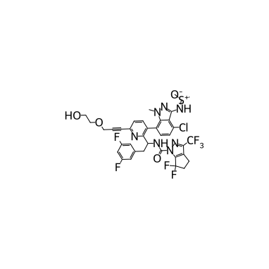 Cn1nc(N[S+](C)[O-])c2c(Cl)ccc(-c3ccc(C#CCOCCO)nc3C(Cc3cc(F)cc(F)c3)NC(=O)n3nc(C(F)(F)F)c4c3C(F)(F)CC4)c21